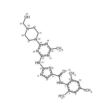 Cc1cc(C)c(NC(=O)c2cnc(Nc3nc(C)nc(N4CCN(CO)CC4)n3)s2)c(C)c1